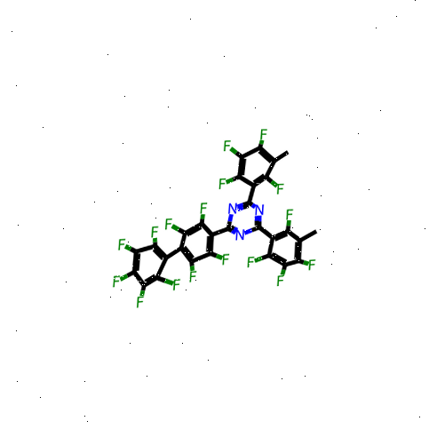 Cc1c(F)c(F)c(F)c(-c2nc(-c3c(F)c(C)c(F)c(F)c3F)nc(-c3c(F)c(F)c(-c4c(F)c(F)c(F)c(F)c4F)c(F)c3F)n2)c1F